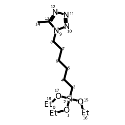 CCO[Si](CCCCCCn1nnnc1C)(OCC)OCC